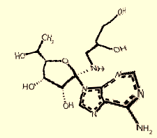 CC(O)[C@H]1O[C@@](NCC(O)CO)(n2cnc3c(N)ncnc32)[C@H](O)[C@@H]1O